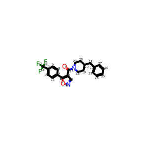 O=C(c1cnoc1-c1ccc(C(F)(F)F)cc1)N1CCC(Cc2ccccc2)CC1